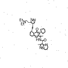 CCN(CC)CCc1c(C#Cc2cccc3nc([C@@H](C)NC(=O)c4c(C)nn5cccnc45)n(-c4ccccc4)c(=O)c23)cnn1C